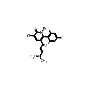 CCn1c(-c2c(F)cc(F)cc2F)c(C(=O)/C=C/N(C)C)cc(Cl)c1=O